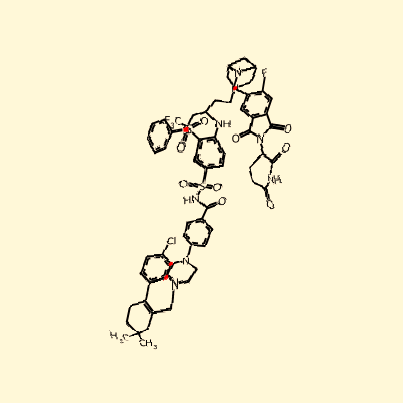 CC1(C)CCC(c2ccc(Cl)cc2)=C(CN2CCN(c3ccc(C(=O)NS(=O)(=O)c4ccc(NC(CCN5CC6CC(C5)N6Cc5cc6c(cc5F)C(=O)N(C5CCC(=O)NC5=O)C6=O)CSc5ccccc5)c(S(=O)(=O)C(F)(F)F)c4)cc3)CC2)C1